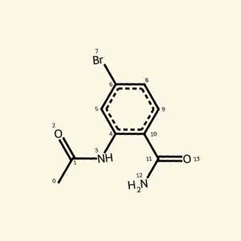 CC(=O)Nc1cc(Br)ccc1C(N)=O